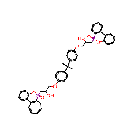 CC(C)(c1ccc(OCC(O)CP2(=O)Oc3ccccc3C3=C2CC=CC=C3)cc1)c1ccc(OCC(O)CP2(=O)Oc3ccccc3-c3ccccc32)cc1